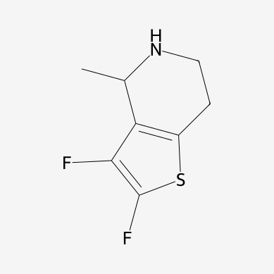 CC1NCCc2sc(F)c(F)c21